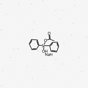 CC(=O)O[Si](O)(c1ccccc1)c1ccccc1.[NaH]